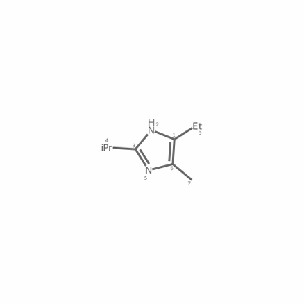 [CH2]Cc1[nH]c(C(C)C)nc1C